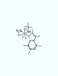 CC1=C(C)[CH]([Ti]([CH3])([CH3])([SiH3])([Cl])([Cl])[NH]C(C)(C)C)c2c(C)c(C)cc(C)c21